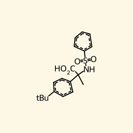 CC(C)(C)c1ccc(C(C)(NS(=O)(=O)c2ccccc2)C(=O)O)cc1